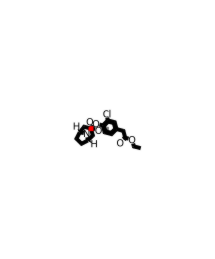 CCOC(=O)Cc1ccc(O[C@H]2C[C@H]3CC[C@@H](C2)N3C(=O)O)c(Cl)c1